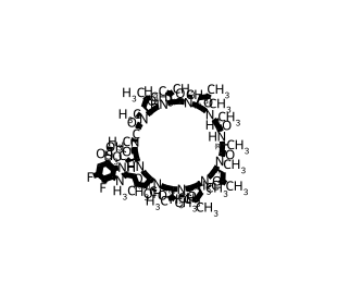 CC[C@@H]1NC(=O)C([C@H](O)[C@H](C)Cc2nc3c(F)c(F)cc(S(=O)(=O)O)c3[nH]2)N(C)C(=O)[C@H](C(C)C)N(C)C(=O)[C@H](CC(C)C)N(C)C(=O)[C@H](CC(C)C)N(C)C(=O)[C@@H](C)NC(=O)[C@H](C)NC(=O)[C@H](CC(C)C)N(C)C(=O)[C@H](C(C)C)NC(=O)[C@H](CC(C)C)N(C)C(=O)CN(C)C1=O